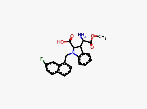 COC(=O)C(N)C1c2ccccc2N(Cc2cccc3ccc(F)cc23)C1C(=O)O